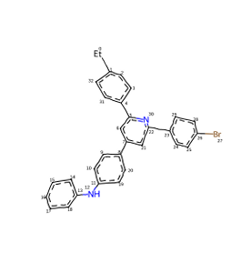 CCc1ccc(-c2cc(-c3ccc(Nc4ccccc4)cc3)cc(-c3ccc(Br)cc3)n2)cc1